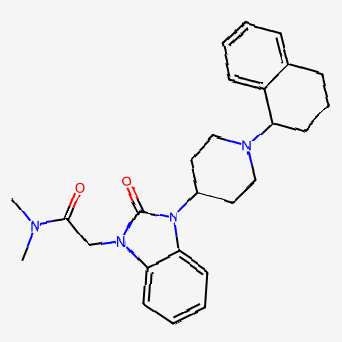 CN(C)C(=O)Cn1c(=O)n(C2CCN(C3CCCc4ccccc43)CC2)c2ccccc21